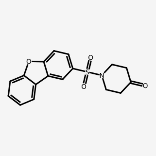 O=C1CCN(S(=O)(=O)c2ccc3oc4ccccc4c3c2)CC1